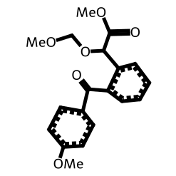 COCOC(C(=O)OC)c1ccccc1C(=O)c1ccc(OC)cc1